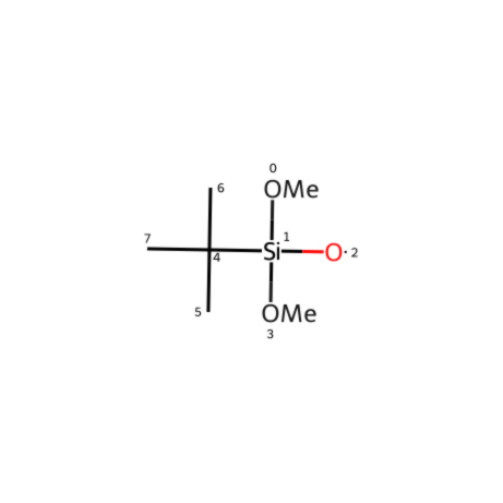 CO[Si]([O])(OC)C(C)(C)C